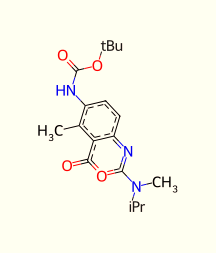 Cc1c(NC(=O)OC(C)(C)C)ccc2nc(N(C)C(C)C)oc(=O)c12